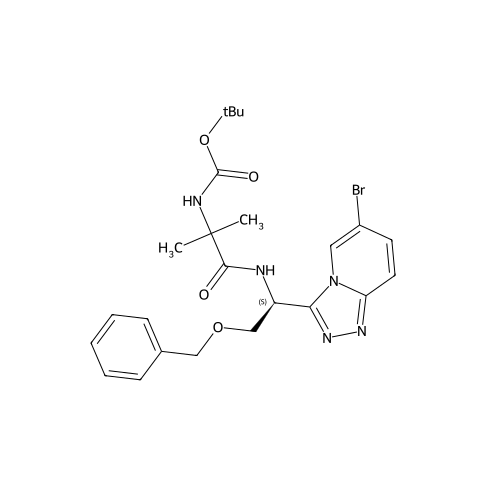 CC(C)(C)OC(=O)NC(C)(C)C(=O)N[C@H](COCc1ccccc1)c1nnc2ccc(Br)cn12